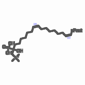 CCCCC/C=C\CCCCCC/C=C\CCCCCCC(O)(C[N+](C)(C)C)P(=O)(O)O